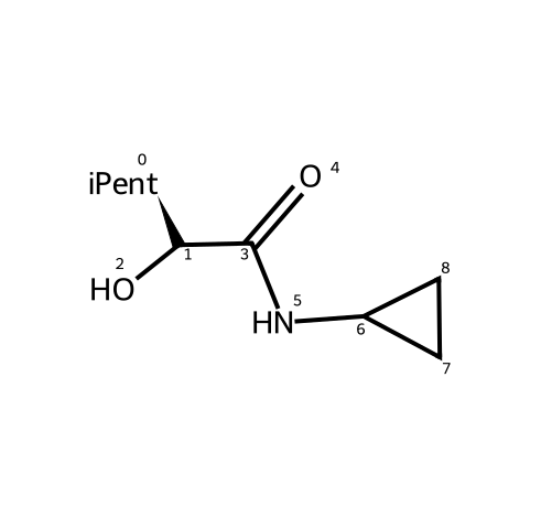 CCC[C@H](C)C(O)C(=O)NC1CC1